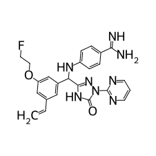 C=Cc1cc(OCCF)cc(C(Nc2ccc(C(=N)N)cc2)c2nn(-c3ncccn3)c(=O)[nH]2)c1